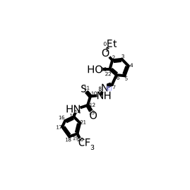 CCOc1cccc(/C=N/NC(=S)C(=O)Nc2cccc(C(F)(F)F)c2)c1O